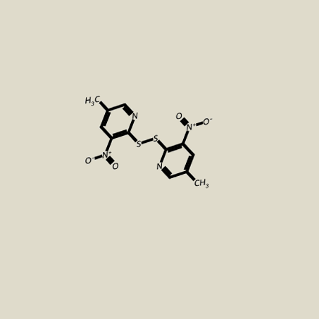 Cc1cnc(SSc2ncc(C)cc2[N+](=O)[O-])c([N+](=O)[O-])c1